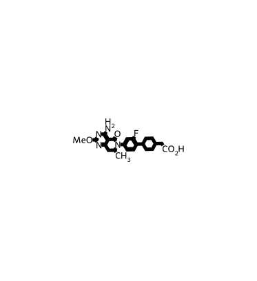 COc1nc(N)c2c(n1)CC(C)N(c1ccc(C3CCC(CC(=O)O)CC3)c(F)c1)C2=O